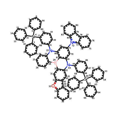 c1ccc([Si](c2ccccc2)(c2ccccc2)c2cccc(N3c4ccccc4B4c5cc6oc7ccccc7c6cc5N(c5cccc([Si](c6ccccc6)(c6ccccc6)c6ccccc6)c5)c5cc(-n6c7ccccc7c7ccccc76)cc3c54)c2)cc1